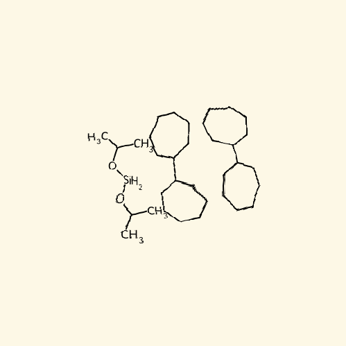 C1CCCC(C2CCCCCC2)CC1.C1CCCC(C2CCCCCC2)CC1.CC(C)O[SiH2]OC(C)C